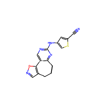 N#Cc1cc(Nc2ncc3c(n2)CCCc2cnoc2-3)cs1